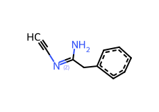 C#C/N=C(\N)Cc1ccccc1